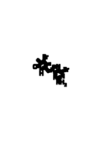 Cc1c(Cn2cnc3c(Br)nc(N)nc32)[nH]c(=O)c(C)c1Br